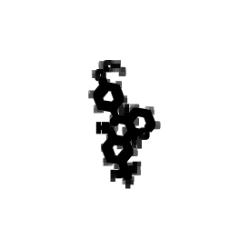 COc1ccc([C@@H]2Nc3ccc(C(F)(F)F)cc3[C@H]3OCCC[C@H]32)cc1